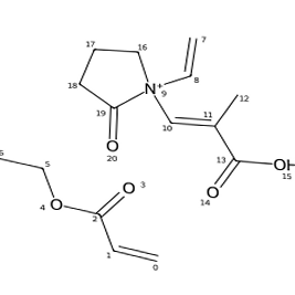 C=CC(=O)OCC.C=C[N+]1(C=C(C)C(=O)O)CCCC1=O